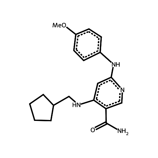 COc1ccc(Nc2cc(NCC3CCCC3)c(C(N)=O)cn2)cc1